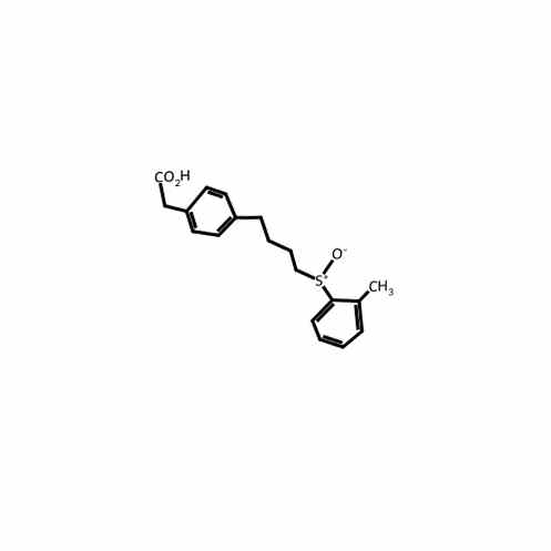 Cc1ccccc1[S+]([O-])CCCCc1ccc(CC(=O)O)cc1